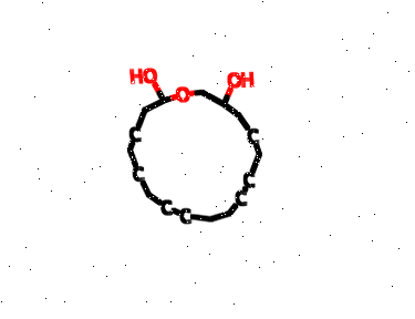 OC1CCCCCCCCCCCCCCC(O)OC1